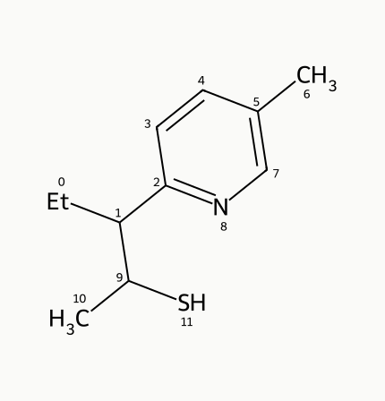 CCC(c1ccc(C)cn1)C(C)S